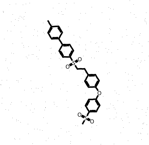 Cc1ccc(-c2ccc(S(=O)(=O)CCc3ccc(Oc4ccc(S(C)(=O)=O)cc4)cc3)cc2)cc1